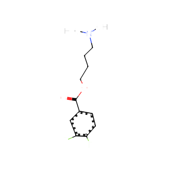 CN(C)CCCCOC(=O)c1ccc(F)c(F)c1